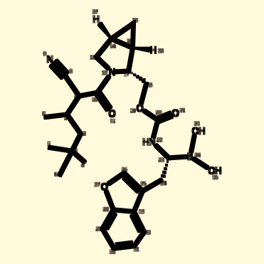 CC(CC(C)(C)C)C(C#N)C(=O)N1C[C@@H]2C[C@@H]2[C@@H]1COC(=O)N[C@@H](Cc1coc2ccccc12)B(O)O